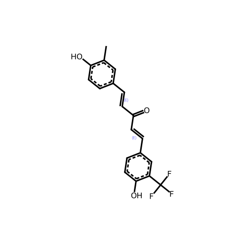 Cc1cc(/C=C/C(=O)/C=C/c2ccc(O)c(C(F)(F)F)c2)ccc1O